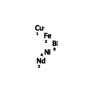 [B].[Cu].[Fe].[Nd].[Ni]